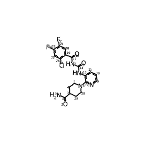 NC(=O)C1CCN(c2ncccc2NC(=O)NC(=O)c2cc(F)c(F)cc2Cl)CC1